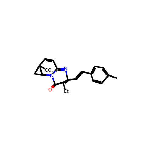 CCc1c(/C=C/c2ccc(C)cc2)nc2n(c1=O)C1CC1(C(=O)O)C=C2